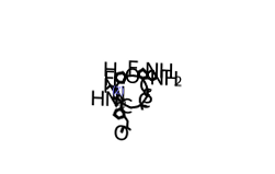 CN/C1=N\C(=N)[C@@](C)(c2cccc(CC(C)C=O)c2)CCCC(C)(C)CSCCc2c(C=N)c(N)cc(F)c2Oc2ccc(F)c1c2